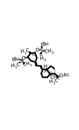 C=C1[C@H](O[Si](C)(C)C(C)(C)C)CC(=C/C=C2\CCC[C@]3(C)[C@@H]([C@H](C)OC(C)=O)CC[C@@H]23)C[C@H]1O[Si](C)(C)C(C)(C)C